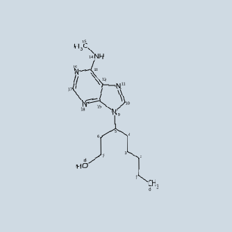 CCCCCC(CCO)n1cnc2c(NC)ncnc21